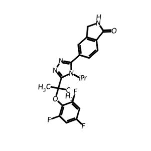 CC(C)n1c(-c2ccc3c(c2)CNC3=O)nnc1C(C)(C)Oc1c(F)cc(F)cc1F